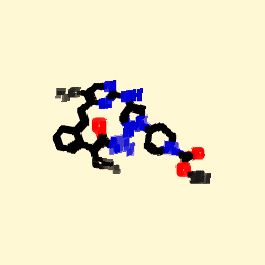 CC(C(N)=O)c1ccccc1CCc1nc(Nc2cnn(C3CCN(C(=O)OC(C)(C)C)CC3)c2)ncc1C(F)(F)F